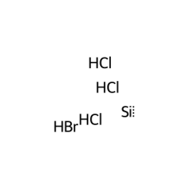 Br.Cl.Cl.Cl.[Si]